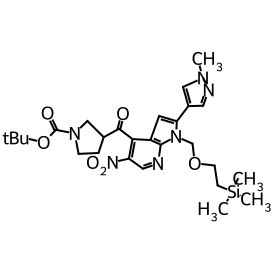 Cn1cc(-c2cc3c(C(=O)C4CCN(C(=O)OC(C)(C)C)C4)c([N+](=O)[O-])cnc3n2COCC[Si](C)(C)C)cn1